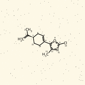 C=C(C)[C@H]1CC=C(c2oc(Cl)nc2C)CC1